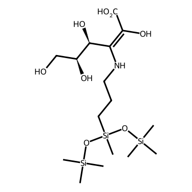 C[Si](C)(C)O[Si](C)(CCCN/C(=C(\O)C(=O)O)[C@H](O)[C@@H](O)CO)O[Si](C)(C)C